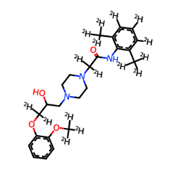 [2H]c1c([2H])c(C([2H])([2H])[2H])c(NC(=O)C([2H])([2H])N2CCN(CC(O)C([2H])([2H])Oc3ccccc3OC([2H])([2H])[2H])CC2)c(C([2H])([2H])[2H])c1[2H]